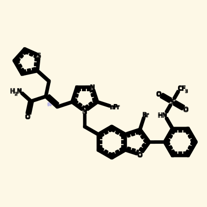 CCCc1ncc(/C=C(\Cc2cccs2)C(N)=O)n1Cc1ccc2oc(-c3ccccc3NS(=O)(=O)C(F)(F)F)c(Br)c2c1